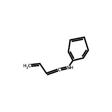 C=CC=C=[SiH]c1ccccc1